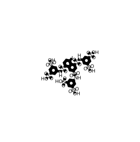 O=S(=O)(O)c1cc(NS(=O)(=O)c2cc(S(=O)(=O)Nc3cc(S(=O)(=O)O)cc(S(=O)(=O)O)c3)c3c(I)ccc(S(=O)(=O)Nc4cc(S(=O)(=O)O)cc(S(=O)(=O)O)c4)c3c2)cc(S(=O)(=O)O)c1